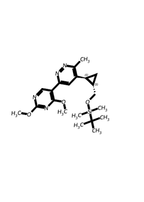 COc1ncc(-c2cc([C@H]3C[C@@H]3CO[Si](C)(C)C(C)(C)C)c(C)nn2)c(OC)n1